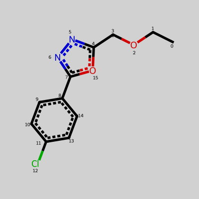 CCO[CH]c1nnc(-c2ccc(Cl)cc2)o1